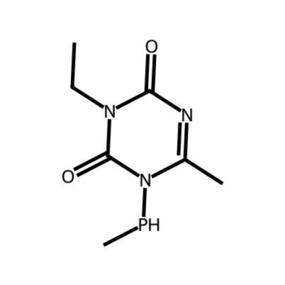 CCn1c(=O)nc(C)n(PC)c1=O